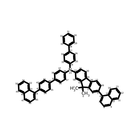 CC1(C)c2cc(-c3cccc4ccccc34)ccc2-c2ccc(N(c3ccc(-c4ccccc4)cc3)c3ccc(-c4ccc(-c5cccc6ccccc56)cc4)cc3)cc21